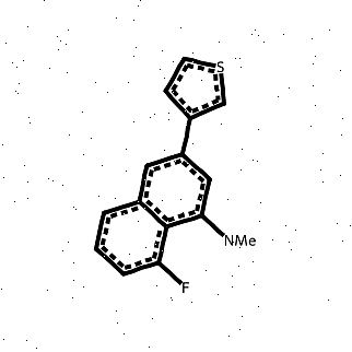 CNc1cc(-c2ccsc2)cc2cccc(F)c12